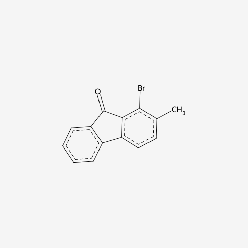 Cc1ccc2c(c1Br)C(=O)c1ccccc1-2